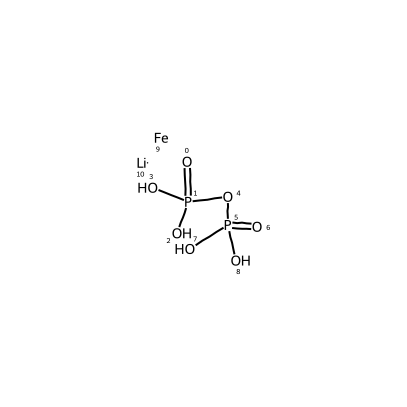 O=P(O)(O)OP(=O)(O)O.[Fe].[Li]